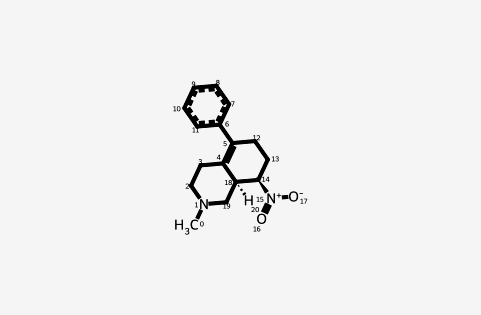 CN1CCC2=C(c3ccccc3)CC[C@@H]([N+](=O)[O-])[C@H]2C1